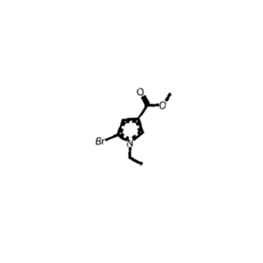 CCn1cc(C(=O)OC)cc1Br